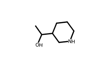 CC(O)C1CCCNC1